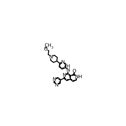 COCCN1CCC(c2ccc(Nc3nc(-c4cncnc4)cc4cc[nH]c(=O)c34)cn2)CC1